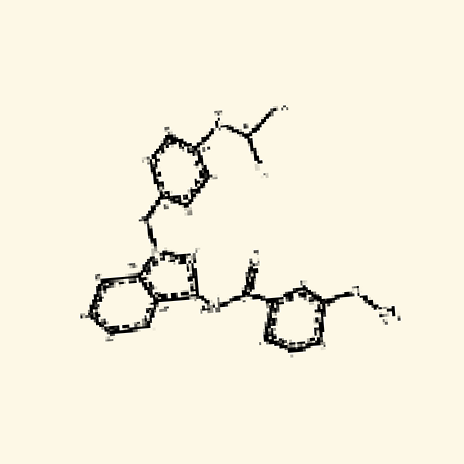 COc1cccc(C(=O)Nc2nn(Cc3ccc(OC(F)F)cc3)c3ccccc23)c1